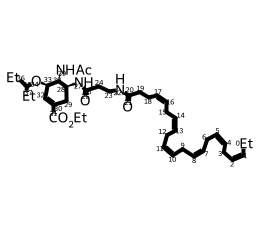 CC/C=C\C/C=C\C/C=C\C/C=C\C/C=C\C/C=C\CCC(=O)NCCC(=O)N[C@H]1CC(C(=O)OCC)=C[C@@H](OC(CC)CC)[C@@H]1NC(C)=O